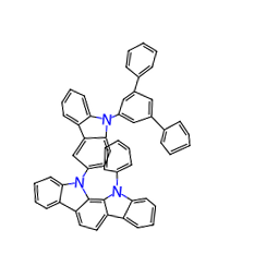 c1ccc(-c2cc(-c3ccccc3)cc(-n3c4ccccc4c4cc(-n5c6ccccc6c6ccc7c8ccccc8n(-c8ccccc8)c7c65)ccc43)c2)cc1